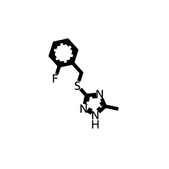 Cc1nc(SCc2ccccc2F)n[nH]1